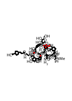 C#Cc1ccc(/C=C/C(=O)NCCNC(=O)C2NC(=O)[C@H]3NC(=O)[C@H](NC(=O)C4NC(=O)[C@H](CC(N)=O)NC(=O)[C@H](NC(=O)[C@@H](CC(C)C)NC)[C@H](O)c5ccc(c(Cl)c5)Oc5cc4cc(c5O[C@@H]4O[C@H](CO)[C@@H](O)[C@H](O)[C@H]4OC4C[C@](C)(N)[C@H](O)[C@H](C)O4)Oc4ccc(cc4Cl)[C@H]3O)c3ccc(O)c(c3)-c3c(O)cc(O)cc32)cc1